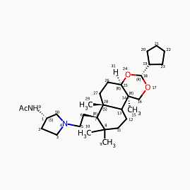 CC(=O)N[C@H]1CCN(CC[C@@H]2C(C)(C)CCC3[C@]4(C)CO[C@@H](C5CCCC5)O[C@@H]4CC[C@]32C)C1